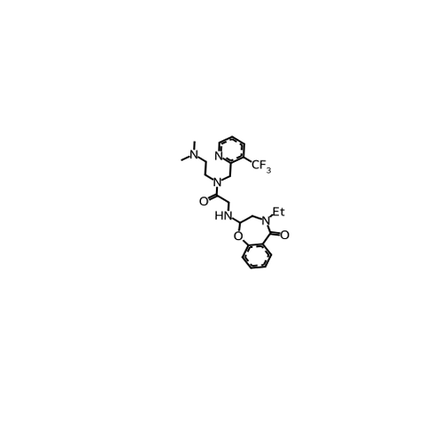 CCN1CC(NCC(=O)N(CCN(C)C)Cc2ncccc2C(F)(F)F)Oc2ccccc2C1=O